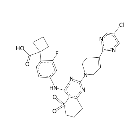 O=C(O)C1(c2ccc(Nc3nc(N4CC=C(c5ncc(Cl)cn5)CC4)nc4c3S(=O)(=O)CCC4)cc2F)CCC1